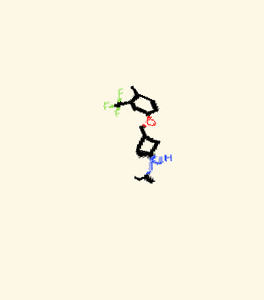 Cc1ccc(OCC2CC(NC(C)C)C2)cc1C(F)(F)F